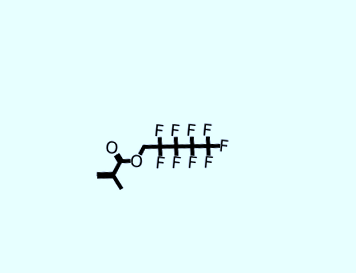 C=C(C)C(=O)OCC(F)(F)C(F)(F)C(F)(F)C(F)(F)F